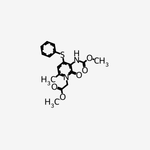 COC(=O)Cn1c(C)cc(Sc2ccccc2)c(NC(=O)OC)c1=O